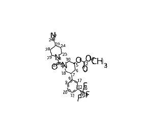 COC(=O)OC1CC(c2cccc(C(F)(F)F)c2)CN(C(=O)N2CCC(C#N)CC2)C1